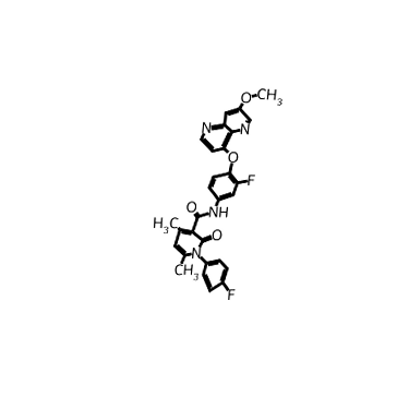 COc1cnc2c(Oc3ccc(NC(=O)c4c(C)cc(C)n(-c5ccc(F)cc5)c4=O)cc3F)ccnc2c1